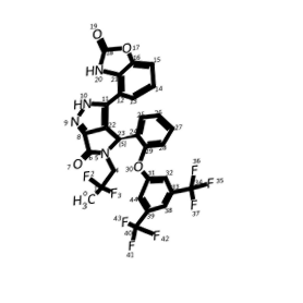 CC(F)(F)CN1C(=O)c2n[nH]c(-c3cccc4oc(=O)[nH]c34)c2[C@H]1c1ccccc1Oc1cc(C(F)(F)F)cc(C(F)(F)F)c1